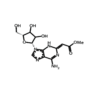 COC(=O)C=C1N=C(N)c2ncn([C@@H]3O[C@H](CO)C(O)C3O)c2N1